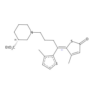 CCOC(=O)[C@@H]1CCCN(CCC/C(=C2\SC(=O)C=C2C)c2sccc2C)C1